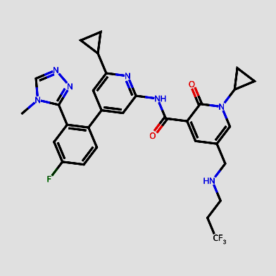 Cn1cnnc1-c1cc(F)ccc1-c1cc(NC(=O)c2cc(CNCCC(F)(F)F)cn(C3CC3)c2=O)nc(C2CC2)c1